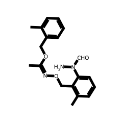 CC(=NOCc1c(C)cccc1N(N)C=O)OCc1ccccc1C